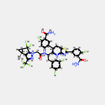 NC(=O)c1cc(-c2nc3nc(C(Cc4cc(F)cc(F)c4)NC(=O)Cn4nc(C(F)(F)F)c5c4C(F)(F)C4C[C@H]54)c(-c4ccc(F)c(C(N)=O)c4)cc3s2)ccc1F